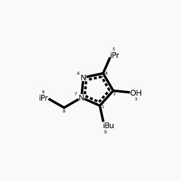 CCC(C)c1c(O)c(C(C)C)nn1CC(C)C